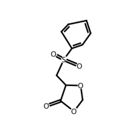 O=C1OCOC1CS(=O)(=O)c1ccccc1